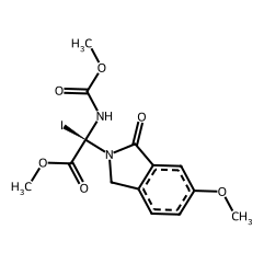 COC(=O)N[C@@](I)(C(=O)OC)N1Cc2ccc(OC)cc2C1=O